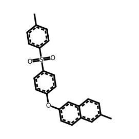 Cc1ccc(S(=O)(=O)c2ccc(Oc3ccc4cc(C)ccc4c3)cc2)cc1